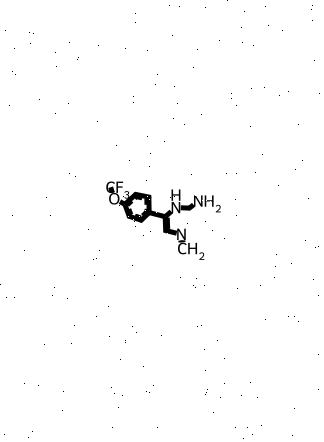 C=N/C=C(\NCN)c1ccc(OC(F)(F)F)cc1